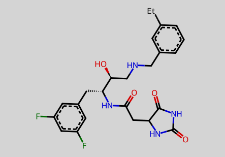 CCc1cccc(CNC[C@H](O)[C@@H](Cc2cc(F)cc(F)c2)NC(=O)CC2NC(=O)NC2=O)c1